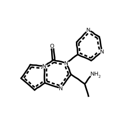 CC(N)c1nc2cccn2c(=O)n1-c1cncnc1